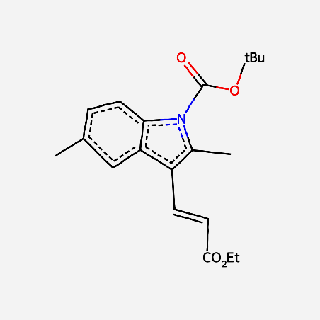 CCOC(=O)/C=C/c1c(C)n(C(=O)OC(C)(C)C)c2ccc(C)cc12